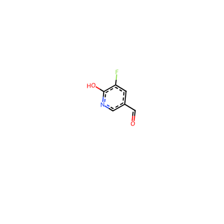 O=Cc1cnc(O)c(F)c1